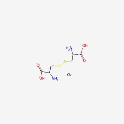 NC(CSSCC(N)C(=O)O)C(=O)O.[Cu]